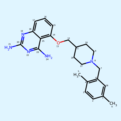 Cc1ccc(C)c(CN2CCC(COc3cccc4nc(N)nc(N)c34)CC2)c1